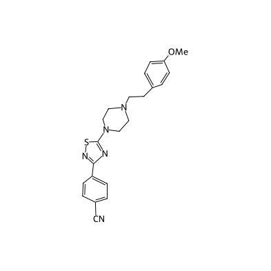 COc1ccc(CCN2CCN(c3nc(-c4ccc(C#N)cc4)ns3)CC2)cc1